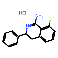 Cl.NC1=NC(c2ccccc2)Cc2cccc(F)c21